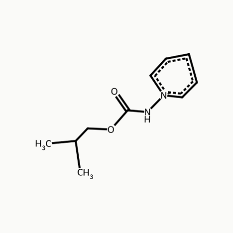 CC(C)COC(=O)N[n+]1ccccc1